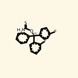 NC(=S)O[C@@](c1ccccc1)(c1ccc(F)cc1)c1ccccc1F